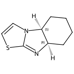 C1=CN2C(=N[C@@H]3CCCC[C@@H]32)S1